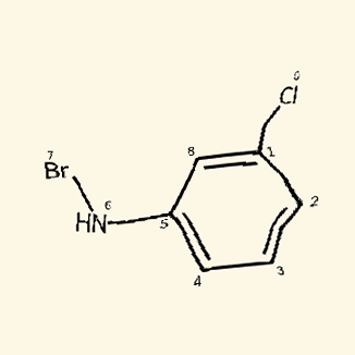 Clc1cccc(NBr)c1